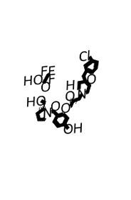 O=C(O)C(F)(F)F.O=C(c1ccc(O)cc1OC[C@@H](O)CN1CCC2(CC1)Cc1cc(Cl)ccc1O2)N1CCC[C@H]1CO